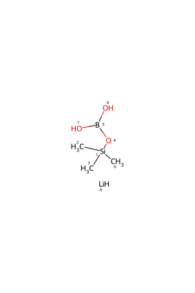 C[Si](C)(C)OB(O)O.[LiH]